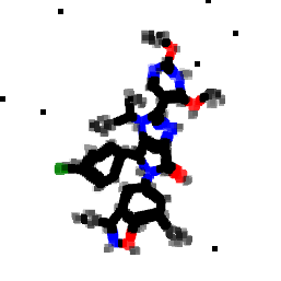 COc1ncc(-c2nc3c(n2C(C)C)C(c2ccc(Cl)cc2)N(c2cc(C)c4onc(C)c4c2)C3=O)c(OC)n1